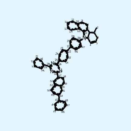 CC1CC=CC2C1c1ccc3ccccc3c1N2c1ccc(-c2ccc(-c3nc(-c4ccccc4)nc(-c4ccc5cc(-c6ccccc6)ccc5c4)n3)cc2)cc1